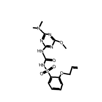 C=CCOc1ccccc1S(=O)(=O)NC(=O)Nc1nc(OC)nc(N(C)C)n1